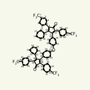 O=C1C(c2ccc(C(F)(F)F)cc2)=C(c2ccccc2)C(c2ccc(Oc3ccc(C4=C(c5ccc(C(F)(F)F)cc5)C(=O)C(c5ccc(C(F)(F)F)cc5)=C4c4ccccc4)cc3)cc2)=C1c1ccc(C(F)(F)F)cc1